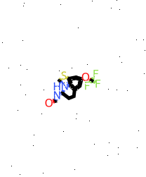 O=CNC1CCc2cc(OC(F)(F)F)cc3c2N1CS3